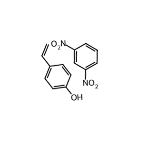 C=Cc1ccc(O)cc1.O=[N+]([O-])c1cccc([N+](=O)[O-])c1